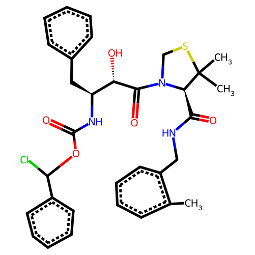 Cc1ccccc1CNC(=O)[C@H]1N(C(=O)[C@@H](O)[C@H](Cc2ccccc2)NC(=O)OC(Cl)c2ccccc2)CSC1(C)C